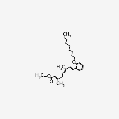 CCCCCCCCCOc1ccccc1C=CC(C)=CC=CC(C)=CC(=O)OCC